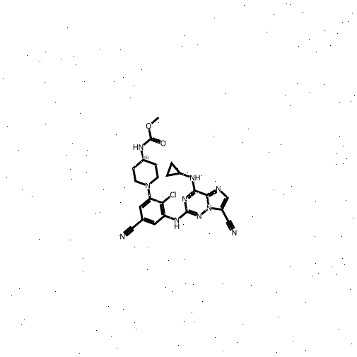 COC(=O)N[C@H]1[CH]CN(c2cc(C#N)cc(Nc3nc(NC4CC4)c4ncc(C#N)n4n3)c2Cl)CC1